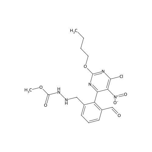 CCCCOc1nc(Cl)c([N+](=O)[O-])c(-c2c(C=O)cccc2CNNC(=O)OC)n1